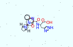 O=C(NC(Cc1c[nH]cn1)C1OC1O)c1nc2ccccc2n([C@H]2C[C@H]3CC[C@@H](C2)N3C2CCCCCCC2)c1=O